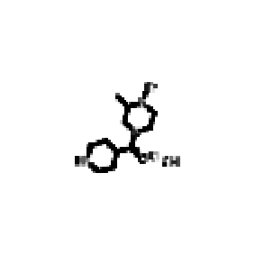 CC(C)N1CCN(C(=O)C2CCNCC2)CC1C.Cl.Cl